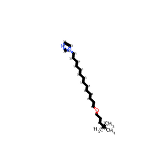 CC(C)(C)CCCOCCCCCCCCCCCCCCn1ccnc1